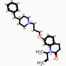 C=CC(C)N1C(=O)CCc2ccc(OCCCN3CCC(Cc4ccccc4)CC3)cc21